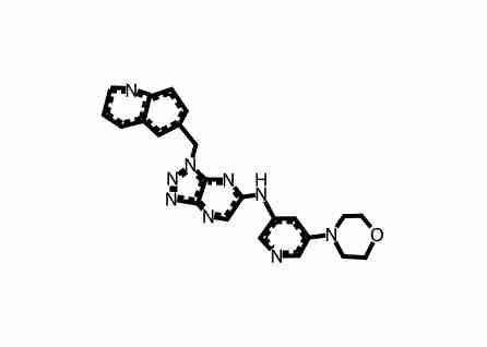 c1cnc2ccc(Cn3nnc4ncc(Nc5cncc(N6CCOCC6)c5)nc43)cc2c1